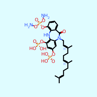 CC(C)=CCC/C(C)=C/CC/C(C)=C/CN1C(=O)c2cccc(OP(=O)(ON)ON)c2Nc2c(OP(=O)(O)O)cc(OP(=O)(O)O)cc21